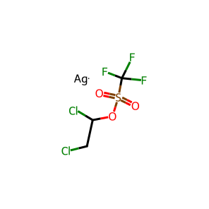 O=S(=O)(OC(Cl)CCl)C(F)(F)F.[Ag]